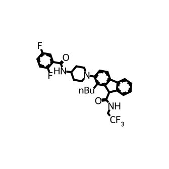 CCCCc1c(N2CCC(NC(=O)c3cc(F)ccc3F)CC2)ccc2c1C(C(=O)NCC(F)(F)F)c1ccccc1-2